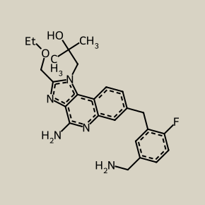 CCOCc1nc2c(N)nc3cc(Cc4cc(CN)ccc4F)ccc3c2n1CC(C)(C)O